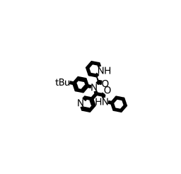 CC(C)(C)c1ccc(N(C(=O)[C@H]2CCCCN2)C(C(=O)NC2CCCCC2)c2cccnc2)cc1